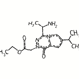 CCOC(=O)Cn1nc(C(C)N)n2cc(C(C)C)cc2c1=O